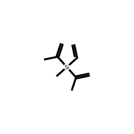 C=C[Si](C)(C(=C)C)C(=C)C